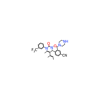 CC=C(C)C1=C(C)N(c2cccc(C(F)(F)F)c2)C(=O)N(C)C1c1ccc(C#N)cc1C(=O)N1CCNCC1